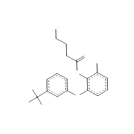 CCCCC(=O)Oc1c(Cl)cccc1Oc1cccc(C(F)(F)F)c1